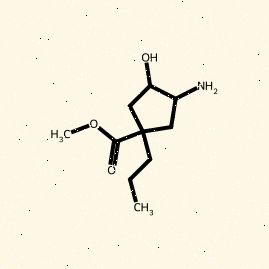 CCCC1(C(=O)OC)CC(N)C(O)C1